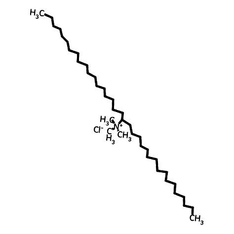 CCCCCCCCCCCCCCCCCCC(CCCCCCCCCCCCCCCC)[N+](C)(C)C.[Cl-]